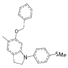 CSc1ccc(N2CCc3cc(C)c(OCc4ccccc4)cc32)cc1